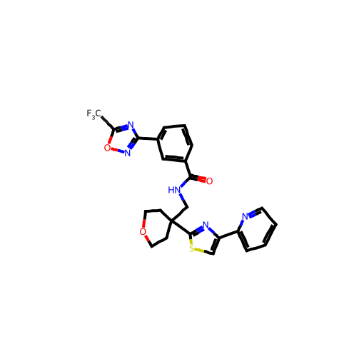 O=C(NCC1(c2nc(-c3ccccn3)cs2)CCOCC1)c1cccc(-c2noc(C(F)(F)F)n2)c1